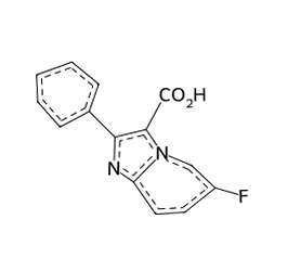 O=C(O)c1c(-c2ccccc2)nc2ccc(F)cn12